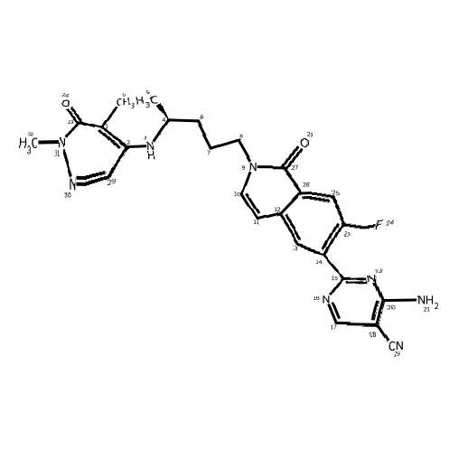 Cc1c(N[C@@H](C)CCCn2ccc3cc(-c4ncc(C#N)c(N)n4)c(F)cc3c2=O)cnn(C)c1=O